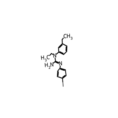 CCc1cccc(N(CC)C(N)=Nc2ccc(I)cc2)c1